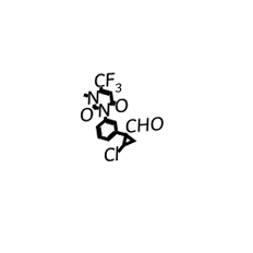 Cn1c(C(F)(F)F)cc(=O)n(-c2cccc(C3(C=O)CC3Cl)c2)c1=O